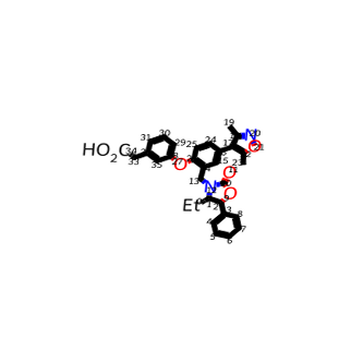 CCC1C(c2ccccc2)OC(=O)N1Cc1cc(-c2c(C)noc2C)ccc1Oc1cccc(CC(=O)O)c1